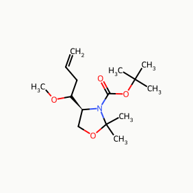 C=CCC(OC)[C@@H]1COC(C)(C)N1C(=O)OC(C)(C)C